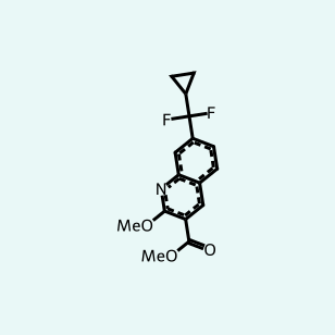 COC(=O)c1cc2ccc(C(F)(F)C3CC3)cc2nc1OC